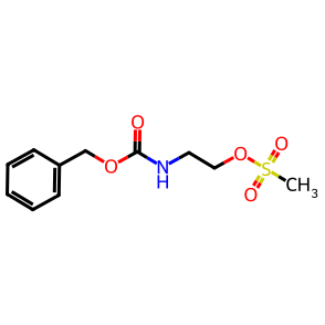 CS(=O)(=O)OCCNC(=O)OCc1ccccc1